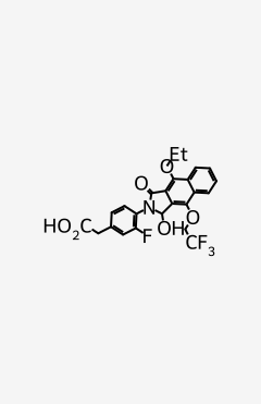 CCOc1c2c(c(OCC(F)(F)F)c3ccccc13)C(O)N(c1ccc(CC(=O)O)cc1F)C2=O